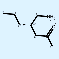 CCC[C@H](CN)CC(C)=O